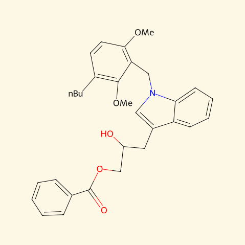 CCCCc1ccc(OC)c(Cn2cc(CC(O)COC(=O)c3ccccc3)c3ccccc32)c1OC